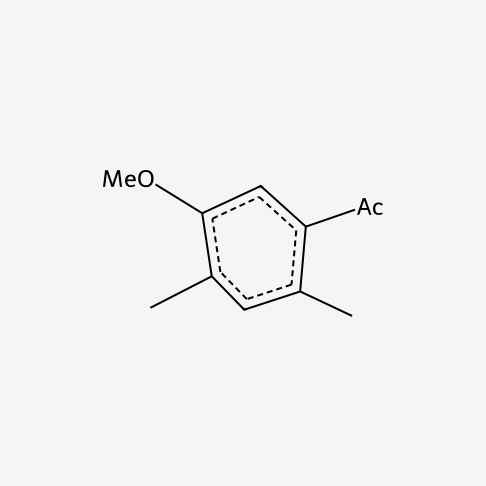 COc1cc(C(C)=O)c(C)cc1C